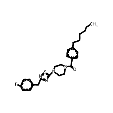 CCCCCCc1ccc(C(=O)N2CCN(c3nc(Cc4ccc(F)cc4)ns3)CC2)cc1